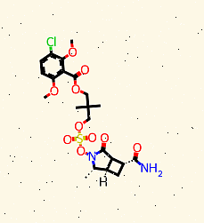 COc1ccc(Cl)c(OC)c1C(=O)OCC(C)(C)COS(=O)(=O)ON1C(=O)C2[C@@H](C[C@H]2C(N)=O)[C@@H]1C